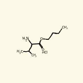 CCCCOC(=O)C(N)C(C)C.Cl